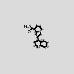 NC(=O)c1cccn2cc(-c3ccnc4ccccc34)nc12